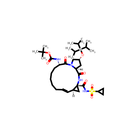 CC(C)[Si](O[C@@H]1C[C@H]2C(=O)N[C@]3(C(=O)NS(=O)(=O)C4CC4)C[C@H]3/C=C/CCCCC[C@H](NC(=O)OC(C)(C)C)C(=O)N2C1)(C(C)C)C(C)C